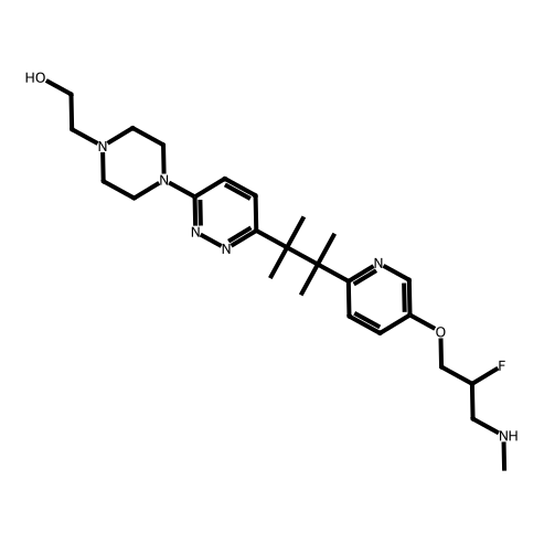 CNCC(F)COc1ccc(C(C)(C)C(C)(C)c2ccc(N3CCN(CCO)CC3)nn2)nc1